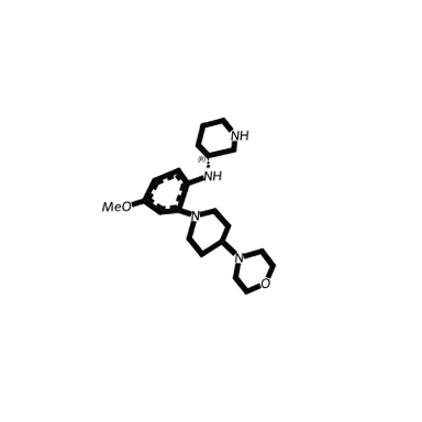 COc1ccc(N[C@@H]2CCCNC2)c(N2CCC(N3CCOCC3)CC2)c1